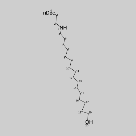 CCCCCCCCCCCCNCCCCCCCCCCCCCCCCO